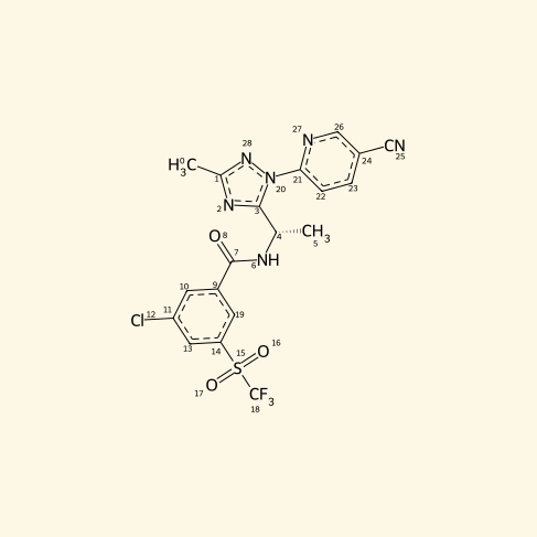 Cc1nc([C@H](C)NC(=O)c2cc(Cl)cc(S(=O)(=O)C(F)(F)F)c2)n(-c2ccc(C#N)cn2)n1